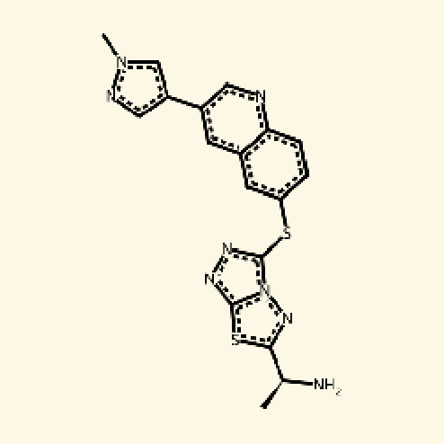 C[C@H](N)c1nn2c(Sc3ccc4ncc(-c5cnn(C)c5)cc4c3)nnc2s1